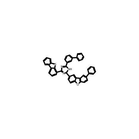 c1ccc(-c2cccc(C3=NC(c4cccc5c4sc4ccccc45)=NC(c4ccc5oc6ccc(-c7ccccc7)cc6c5c4)N3)c2)cc1